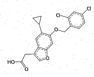 O=C(O)Cc1coc2cc(OCc3ccc(Cl)cc3Cl)c(C3CC3)cc12